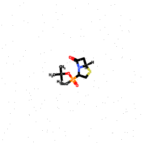 COP(=O)(O[Si](C)(C)C)C1CS[C@H]2CC(=O)N12